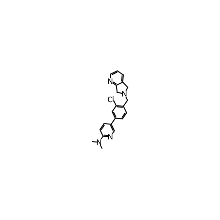 CN(C)c1ccc(-c2ccc(CN3Cc4cccnc4C3)c(Cl)c2)cn1